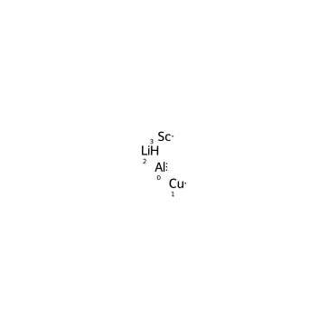 [Al].[Cu].[LiH].[Sc]